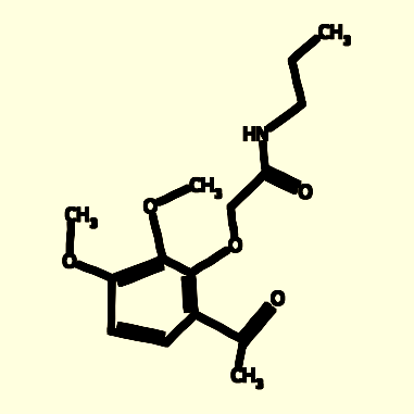 CCCNC(=O)COc1c(C(C)=O)ccc(OC)c1OC